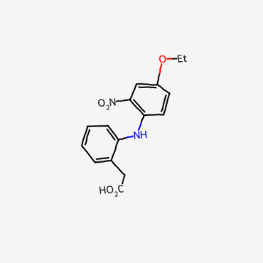 CCOc1ccc(Nc2ccccc2CC(=O)O)c([N+](=O)[O-])c1